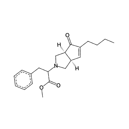 CCCCC1=C[C@H]2CN(C(Cc3ccccc3)C(=O)OC)C[C@H]2C1=O